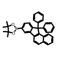 CC1(C)OB(c2ccc3c(c2)-c2ccc4ccccc4c2C3(c2ccccc2)c2ccccc2)OC1(C)C